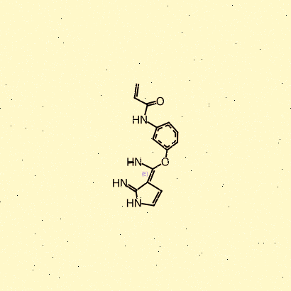 C=CC(=O)Nc1cccc(O/C(NC)=C2\C=CNC2=N)c1